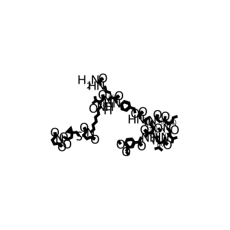 CC[C@H](C)[C@@H]([C@@H](CC(=O)N1C[C@@H](NC(=O)OCc2ccc(NC(=O)[C@H](CCCNC(N)=O)NC(=O)[C@@H](NC(=O)CCCCCN3C(=O)CC(SCC4(CC(=O)ON5C(=O)CCC5=O)CC4)C3=O)C(C)C)cc2)C[C@H]1[C@H](OC)[C@@H](C)C(=O)NCC(=O)c1ccc(OC)c(OC)c1)OC)N(C)C(=O)[C@@H](NC(=O)[C@H](C(C)C)N(C)C)C(C)C